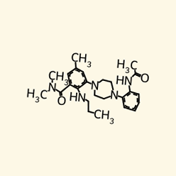 CCCNc1c(C(=O)N(C)C)cc(C)cc1N1CCN(c2ccccc2NC(C)=O)CC1